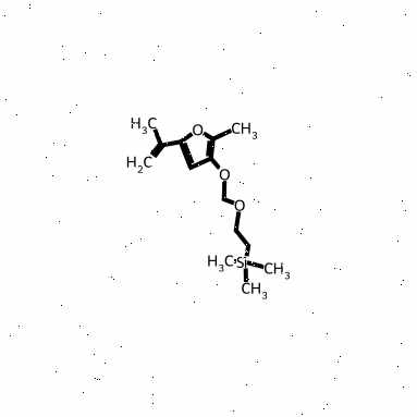 C=C(C)c1cc(OCOCC[Si](C)(C)C)c(C)o1